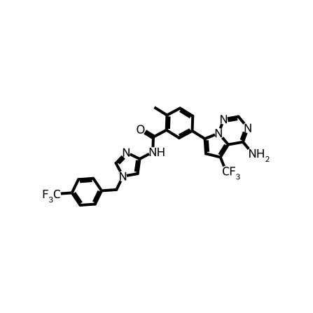 Cc1ccc(-c2cc(C(F)(F)F)c3c(N)ncnn23)cc1C(=O)Nc1cn(Cc2ccc(C(F)(F)F)cc2)cn1